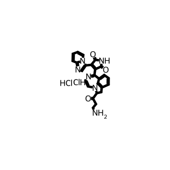 Cl.Cl.NCCC(=O)C1Cc2cccc3c2N1C=CN=C3C1=C(c2cnc3ccccn23)C(=O)NC1=O